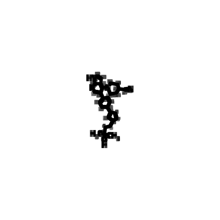 CC(C)(O)CCC1C=CC(c2ccc(-c3cnc4[nH]ccc4c3N3CCC(C#N)CC3)cc2)=C1